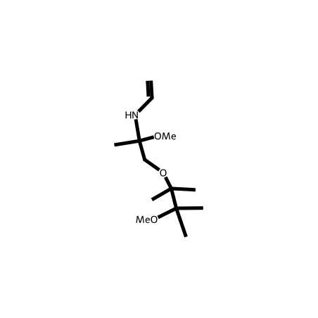 C=CNC(C)(COC(C)(C)C(C)(C)OC)OC